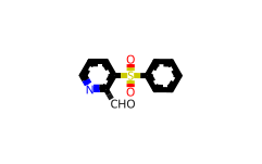 O=Cc1ncccc1S(=O)(=O)c1ccccc1